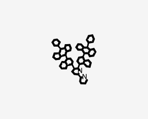 c1ccc(-c2c3ccccc3c(-c3ccc(-c4ccc(-c5ccccn5)nc4-c4ccc(-c5c6ccccc6c(-c6ccccc6)c6ccccc56)c5ccccc45)c4ccccc34)c3ccccc23)cc1